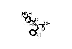 O=C(O)C[C@@H](Cc1ccccc1Cl)NC(=O)c1cnc2nn[nH]c2c1